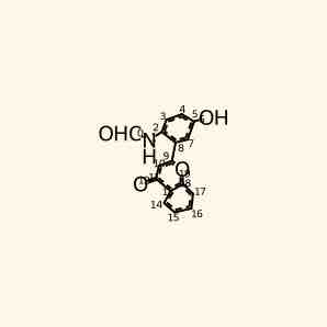 O=CNc1ccc(O)cc1-c1cc(=O)c2ccccc2o1